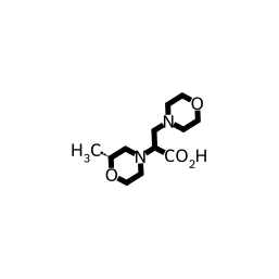 C[C@@H]1CN(C(CN2CCOCC2)C(=O)O)CCO1